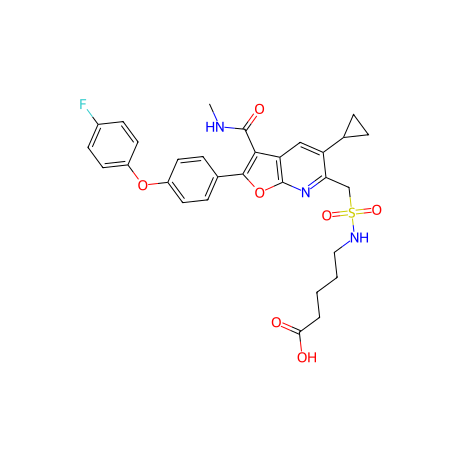 CNC(=O)c1c(-c2ccc(Oc3ccc(F)cc3)cc2)oc2nc(CS(=O)(=O)NCCCCC(=O)O)c(C3CC3)cc12